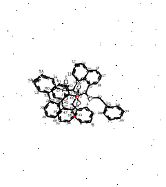 O=P1(C(OCc2ccccc2)c2cccc3cccc(C(OCc4ccccc4)P4(=O)Oc5ccccc5-c5ccccc54)c23)Oc2ccccc2-c2ccccc21